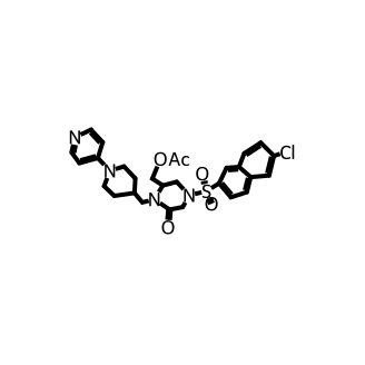 CC(=O)OCC1CN(S(=O)(=O)c2ccc3cc(Cl)ccc3c2)CC(=O)N1CC1CCN(c2ccncc2)CC1